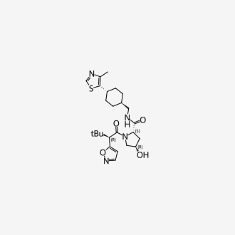 Cc1ncsc1[C@H]1CC[C@H](CNC(=O)[C@@H]2C[C@@H](O)CN2C(=O)[C@@H](c2ccno2)C(C)(C)C)CC1